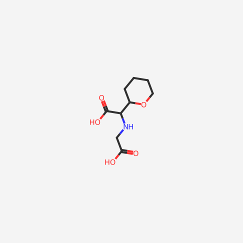 O=C(O)CNC(C(=O)O)C1CCCCO1